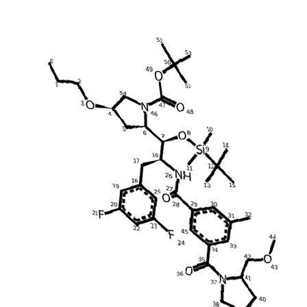 CCCO[C@@H]1C[C@H]([C@@H](O[Si](C)(C)C(C)(C)C)[C@H](Cc2cc(F)cc(F)c2)NC(=O)c2cc(C)cc(C(=O)N3CCCC3COC)c2)N(C(=O)OC(C)(C)C)C1